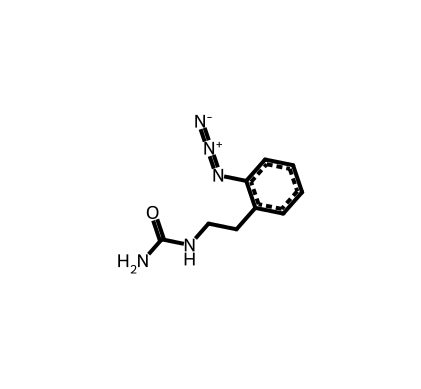 [N-]=[N+]=Nc1ccccc1CCNC(N)=O